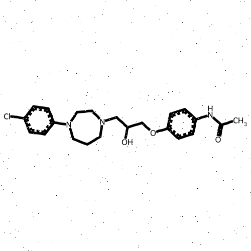 CC(=O)Nc1ccc(OCC(O)CN2CCCN(c3ccc(Cl)cc3)CC2)cc1